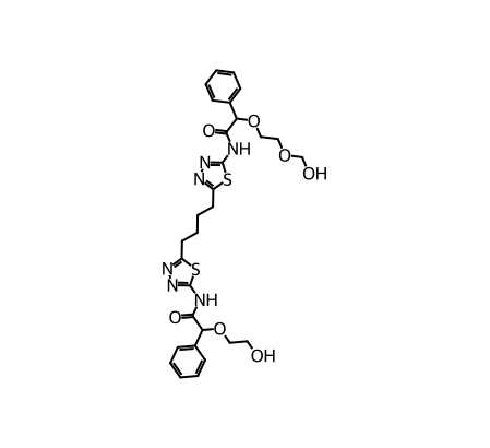 O=C(Nc1nnc(CCCCc2nnc(NC(=O)C(OCCOCO)c3ccccc3)s2)s1)C(OCCO)c1ccccc1